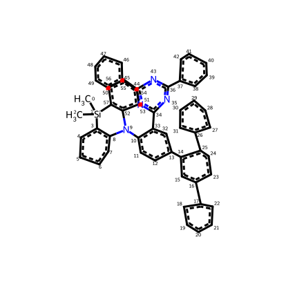 C[Si]1(C)c2ccccc2N(c2ccc(-c3cc(-c4ccccc4)ccc3-c3ccccc3)cc2-c2nc(-c3ccccc3)nc(-c3ccccc3)n2)c2ccccc21